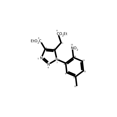 CCOC(=O)Cc1c(C(=O)OCC)nnn1-c1cc(C)ccc1[N+](=O)[O-]